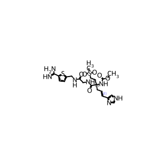 COC(=O)N[C@@](C/C=C/c1c[nH]cn1)(CCS(C)(=O)=O)C(=O)NCC(=O)NCc1ccc(C(=N)N)s1